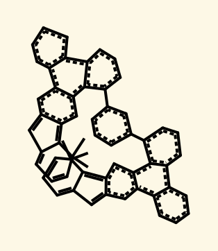 CC1(C)C=CC=C2C=c3cc4c5ccccc5c5cccc(-c6cccc(-c7cccc8c9ccccc9c9cc%10c(cc9c78)=C7C(=CC=CC7(C)C)C=%10)c6)c5c4cc3=C21